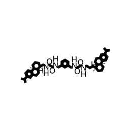 CC(C)c1ccc2c(c1)CC[C@H]1[C@](C)(CCCNC(=O)C(=O)NCc3cccc(CNC(=O)C(=O)NC[C@]4(C)CCC[C@]5(C)c6ccc(C(C)C)cc6CC[C@@H]45)c3)CCC[C@]21C